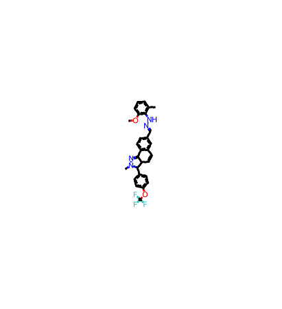 COc1cccc(C)c1N/N=C/c1ccc2c(c1)C=CC1C2=NN(C)C1c1ccc(OC(F)(F)F)cc1